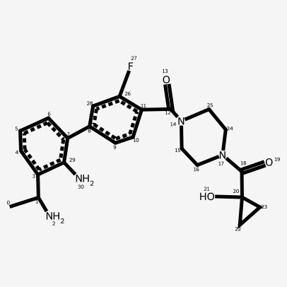 CC(N)c1cccc(-c2ccc(C(=O)N3CCN(C(=O)C4(O)CC4)CC3)c(F)c2)c1N